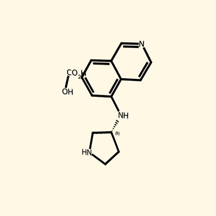 O=C(O)O.c1cc(N[C@@H]2CCNC2)c2ccncc2c1